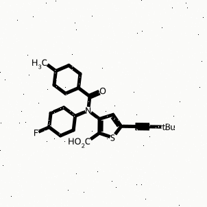 CC1CCC(C(=O)N(c2cc(C#CC(C)(C)C)sc2C(=O)O)C2CCC(F)CC2)CC1